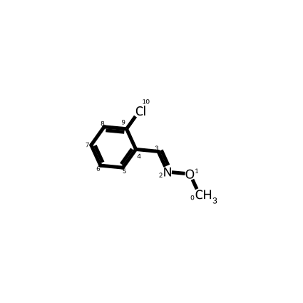 CO/N=C/c1ccccc1Cl